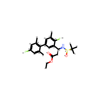 CCOC(=O)C[C@H](N[S+]([O-])C(C)(C)C)c1cc(-c2c(C)cc(F)cc2C)cc(C)c1F